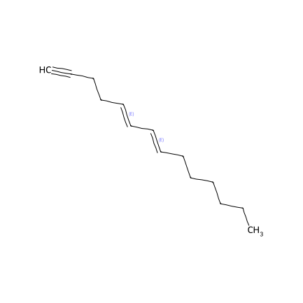 C#CCC/C=C/C=C/CCCCCC